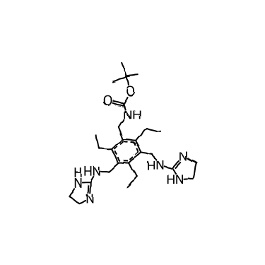 CCc1c(CNC(=O)OC(C)(C)C)c(CC)c(CNC2=NCCN2)c(CC)c1CNC1=NCCN1